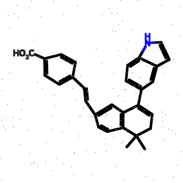 CC1(C)CC=C(c2ccc3[nH]ccc3c2)c2cc(C=Cc3ccc(C(=O)O)cc3)ccc21